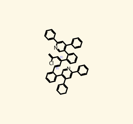 C=C(Cl)/C=C(\C=C\c1ccccc1-c1cnc(-c2ccccc2)cc1C1=CCCC=C1)c1ccccc1-c1cnc(-c2ccccc2)cc1-c1ccccc1